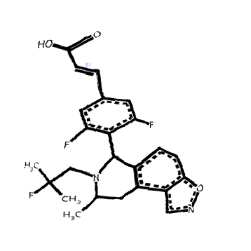 CC1Cc2c(ccc3oncc23)C(c2c(F)cc(/C=C/C(=O)O)cc2F)N1CC(C)(C)F